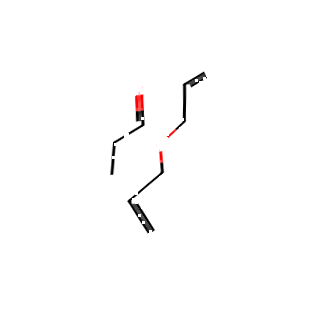 C=CCOCC=C.CCC=O